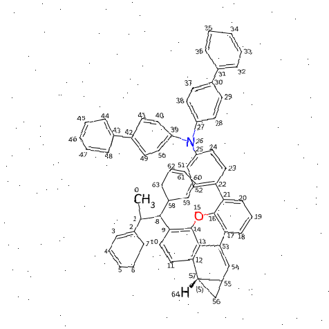 CC(C1=CC=CCC1)C(c1ccc2c3c1Oc1c(cccc1-c1ccc(N(c4ccc(-c5ccccc5)cc4)c4ccc(-c5ccccc5)cc4)cc1)C3=CC1C[C@H]21)C1C=CC=CC1